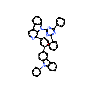 c1ccc(-c2nc(-c3ccccc3)nc(-n3c4ccccc4c4ccnc(-c5cccc(-c6ccc7c(c6)c6ccccc6n7-c6ccccc6)c5)c43)n2)cc1